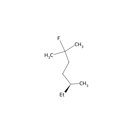 CC[C@H](C)CCC(C)(C)F